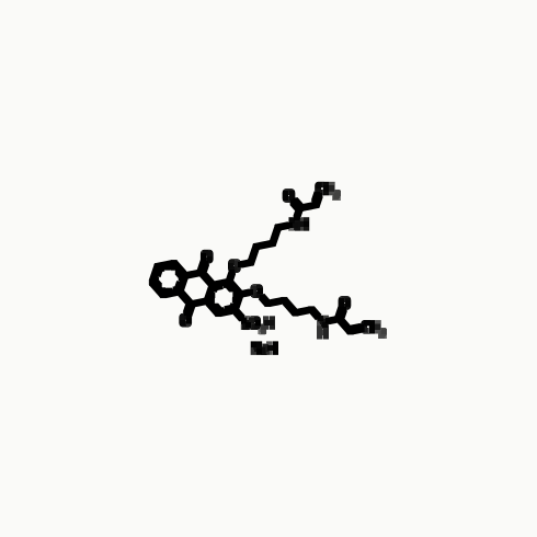 C=CC(=O)NCCCCOc1c(S(=O)(=O)O)cc2c(c1OCCCCNC(=O)C=C)C(=O)c1ccccc1C2=O.[NaH]